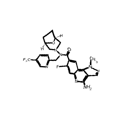 Cn1ncc2c(N)nc3cc(F)c(C(=O)N(Cc4ccc(C(F)(F)F)cn4)N4C[C@H]5CC[C@@H](C4)O5)cc3c21